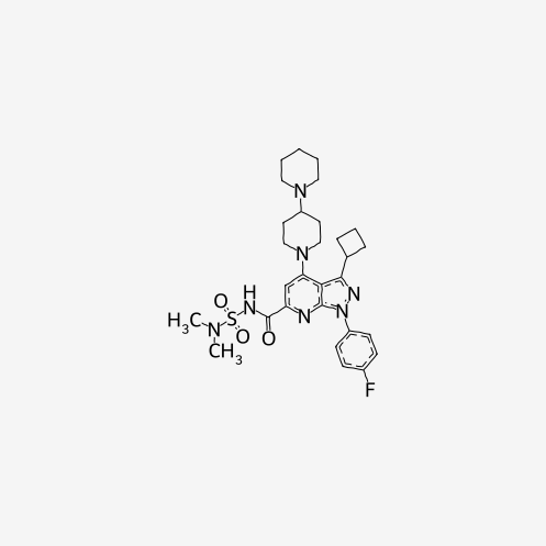 CN(C)S(=O)(=O)NC(=O)c1cc(N2CCC(N3CCCCC3)CC2)c2c(C3CCC3)nn(-c3ccc(F)cc3)c2n1